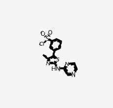 Cc1nc(Nc2cnccn2)sc1-c1cccc(S(=O)(=O)Cl)c1